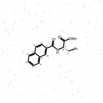 COC(=O)[C@H](CC(C)C)NC(=O)c1ccc2ccccc2c1